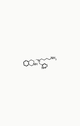 NCCCCN(Cc1cscn1)C[C@H]1Cc2ccccc2CN1